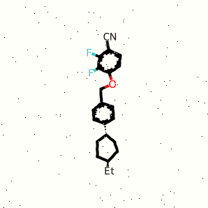 CC[C@H]1CC[C@H](c2ccc(COc3ccc(C#N)c(F)c3F)cc2)CC1